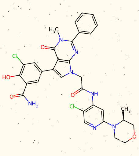 C[C@H]1COCCN1c1cc(NC(=O)Cn2cc(-c3cc(Cl)c(O)c(C(N)=O)c3)c3c(=O)n(C)c(-c4ccccc4)nc32)c(Cl)cn1